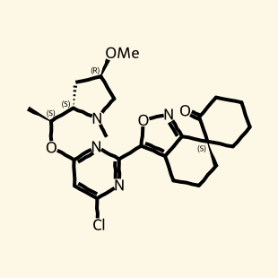 CO[C@@H]1C[C@@H]([C@H](C)Oc2cc(Cl)nc(-c3onc4c3CCC[C@@]43CCCCC3=O)n2)N(C)C1